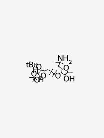 CC1O[C@H](CC(C)(C)N)[C@H](OC(C)(C)C(C)(C)C[C@H]2O[C@@H]3OC(C)(C)O[C@@H]3[C@H]2OC(C)(C)C)[C@H]1O